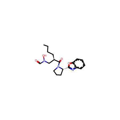 CCCC[C@H](CN(O)C=O)C(=O)N1CCC[C@H]1c1nc2ccccc2o1